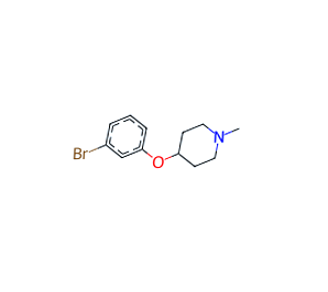 CN1CCC(Oc2cccc(Br)c2)CC1